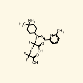 Cc1cccc(C=NOC2CCC(C)(N)CC2)n1.O=C(O)C(F)(F)F.O=C(O)C(F)(F)F